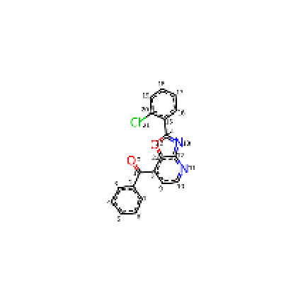 O=C(c1ccccc1)c1ccnc2nc(-c3ccccc3Cl)oc12